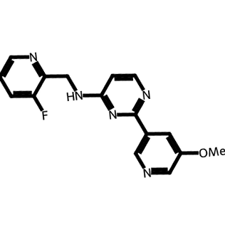 COc1cncc(-c2nccc(NCc3ncccc3F)n2)c1